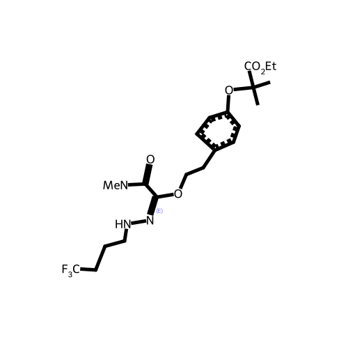 CCOC(=O)C(C)(C)Oc1ccc(CCO/C(=N/NCCCC(F)(F)F)C(=O)NC)cc1